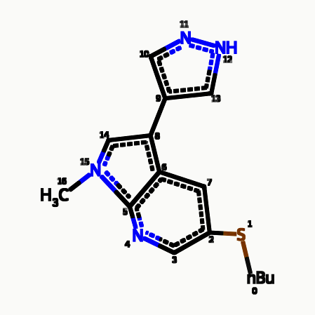 CCCCSc1cnc2c(c1)c(-c1cn[nH]c1)cn2C